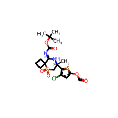 CC(C)(C)OC(=O)/N=C1\N[C@](C)(c2sc(OC=O)cc2Cl)CS(=O)(=O)C12CCC2